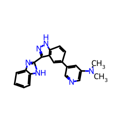 CN(C)c1cncc(-c2ccc3[nH]nc(-c4nc5ccccc5[nH]4)c3c2)c1